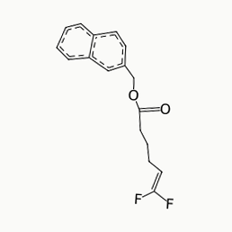 O=C(CCCC=C(F)F)OCc1ccc2ccccc2c1